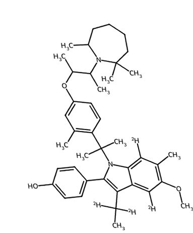 [2H]c1c(OC)c(C)c([2H])c2c1c(C([2H])([2H])C)c(-c1ccc(O)cc1)n2C(C)(C)c1ccc(OC(C)C(C)N2C(C)CCCCC2(C)C)cc1C